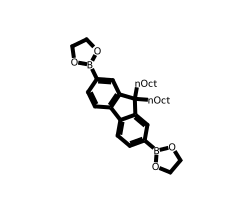 CCCCCCCCC1(CCCCCCCC)c2cc(B3OCCO3)ccc2-c2ccc(B3OCCO3)cc21